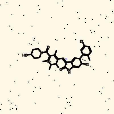 CCc1ccc(C)c(C2C=C3C(=CC2CC)NC(=O)/C3=C\C2=C(C)C(C(=O)N3CCC(O)CC3)=C(C)C(C)C2C)c1